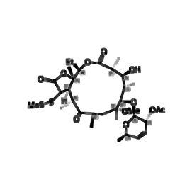 CC[C@H]1OC(=O)[C@H](C)[C@@H](O)[C@H](C)[C@@H](O[C@@H]2O[C@H](C)C=C[C@H]2OC(C)=O)[C@](C)(OC)C[C@@H](C)C(=O)[C@H](C)[C@H]2C(SSC)C(=O)O[C@@]21C